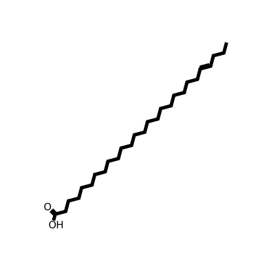 CCCC=CCCCCCCCCCCCCCCCCCCCCCC(=O)O